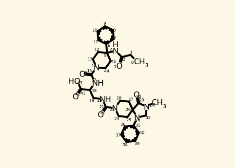 CCC(=O)NC1(c2ccccc2)CCN(C(=O)NC(CNC(=O)N2CCC3(CC2)C(=O)N(C)CN3c2ccccc2)C(=O)O)CC1